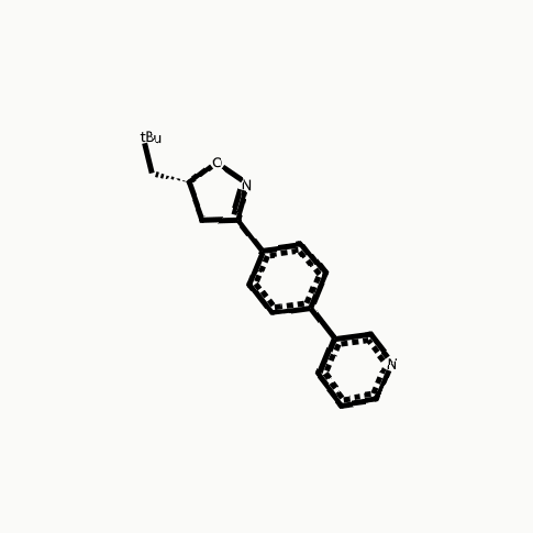 CC(C)(C)C[C@H]1CC(c2ccc(-c3cccnc3)cc2)=NO1